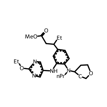 CCCN(c1ccc(C(CC)CC(=O)OC)cc1Nc1cnc(OCC)nc1)C1CCOCC1